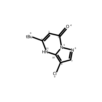 CC(C)(C)c1cc(=O)n2ncc(Cl)c2[nH]1